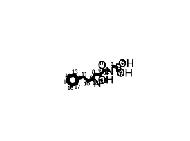 O=C(NCB(O)O)C1CC(CCc2ccccc2)=NO1